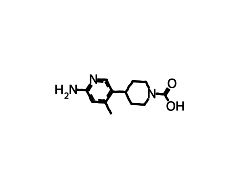 Cc1cc(N)ncc1C1CCN(C(=O)O)CC1